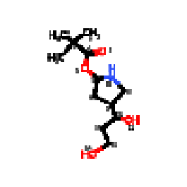 CC(C)(C)C(=O)OC1C[C@H]([C@@H](O)CCO)CN1